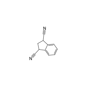 N#CC1CC(C#N)c2ccccc21